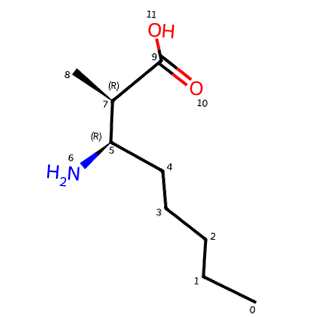 CCCCC[C@@H](N)[C@@H](C)C(=O)O